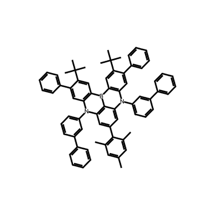 Cc1cc(C)c(-c2cc3c4c(c2)N(c2cccc(-c5ccccc5)c2)c2cc(-c5ccccc5)c(C(C)(C)C)cc2B4c2cc(C(C)(C)C)c(-c4ccccc4)cc2N3c2cccc(-c3ccccc3)c2)c(C)c1